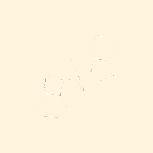 [Cl][Zr]([Cl])([n]1cnc2ccccc21)[n]1cnc2ccccc21